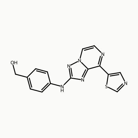 OCc1ccc(Nc2nc3c(-c4cncs4)nccn3n2)cc1